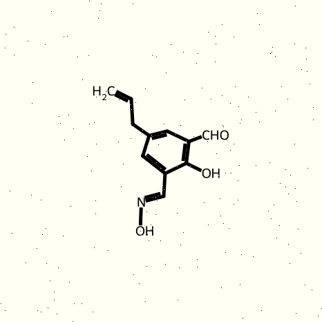 C=CCc1cc(C=O)c(O)c(C=NO)c1